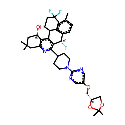 Cc1ccc([C@H](F)c2c(C3CCN(c4ncc(OC[C@@H]5COC(C)(C)O5)cn4)CC3)nc3c(c2C2CCC(F)(F)CC2)[C@@H](O)CC(C)(C)C3)cc1